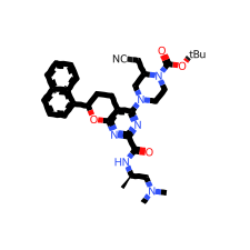 C[C@H](CN(C)C)NC(=O)c1nc2c(c(N3CCN(C(=O)OC(C)(C)C)C(CC#N)C3)n1)CCC(c1cccc3ccccc13)O2